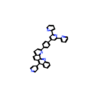 c1ccc(-c2cc(-c3ccc(-c4ccc5ccc6c(-c7ccncc7)c7ccccc7nc6c5n4)cc3)cc(-c3ccccn3)n2)nc1